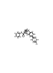 C[C@H]1C2CCN(C(=O)Cc3ccccc3)C1c1cc(N3CCN(C)CC3)ccc12